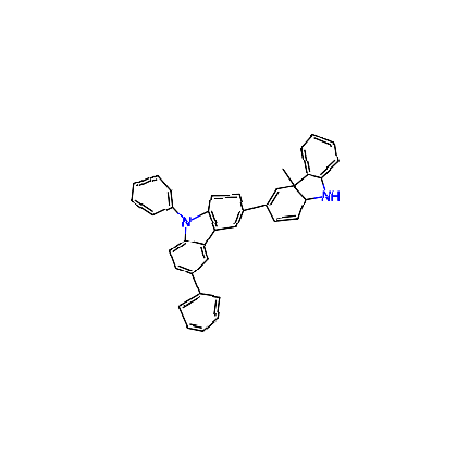 CC12C=C(c3ccc4c(c3)c3cc(-c5ccccc5)ccc3n4-c3ccccc3)C=CC1Nc1ccccc12